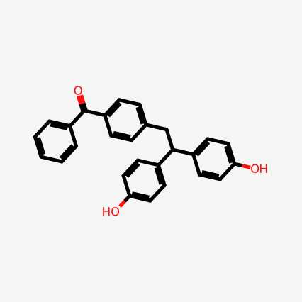 O=C(c1ccccc1)c1ccc(CC(c2ccc(O)cc2)c2ccc(O)cc2)cc1